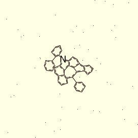 c1ccc(-c2ccccc2-n2c3ccc4c5c3c3c6c(cccc6c(-c6ccccc6)c-5c5ccccc54)ccc32)cc1